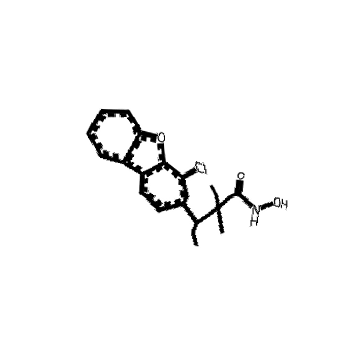 CC(c1ccc2c(oc3ccccc32)c1Cl)C(C)(C)C(=O)NO